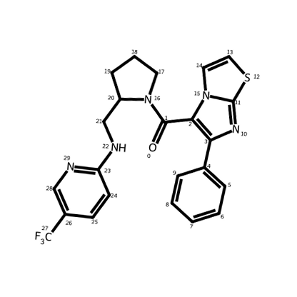 O=C(c1c(-c2ccccc2)nc2sccn12)N1CCCC1CNc1ccc(C(F)(F)F)cn1